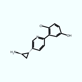 N[C@@H]1C[C@H]1c1ccc(-c2cc(O)ccc2Cl)nc1